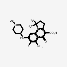 CC(=O)N1CCC(Nc2cc3c(c(N)c2F)c(=O)c(C(=O)O)c2n3C(C)(C)CC2)CC1